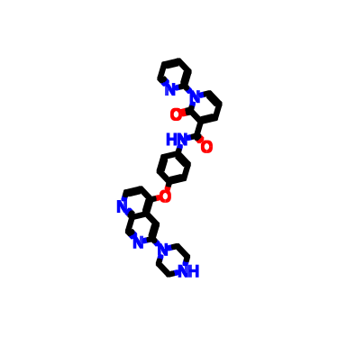 O=C(Nc1ccc(Oc2ccnc3cnc(N4CCNCC4)cc23)cc1)c1cccn(-c2ccccn2)c1=O